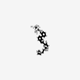 CC(C)(C)OC(=O)NCc1ccccc1-c1cccc2cc(-c3nc(NCCn4ccnn4)ncc3F)sc12